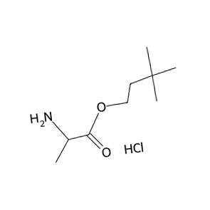 CC(N)C(=O)OCCC(C)(C)C.Cl